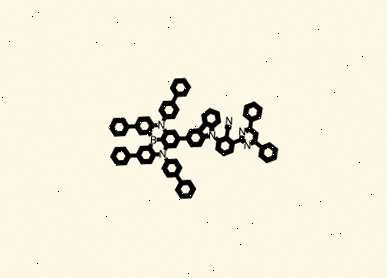 N#Cc1c(-c2nc(-c3ccccc3)cc(-c3ccccc3)n2)cccc1-n1c2ccccc2c2cc(-c3cc4c5c(c3)N(c3ccc(-c6ccccc6)cc3)c3ccc(-c6ccccc6)cc3B5c3cc(-c5ccccc5)ccc3N4c3ccc(-c4ccccc4)cc3)ccc21